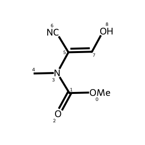 COC(=O)N(C)C(C#N)=CO